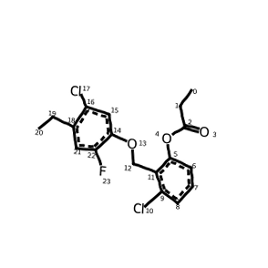 CCC(=O)Oc1cccc(Cl)c1COc1cc(Cl)c(CC)cc1F